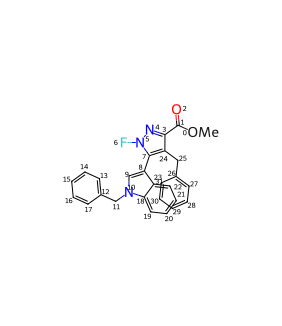 COC(=O)c1nn(F)c(-c2cn(Cc3ccccc3)c3ccccc23)c1Cc1ccccc1